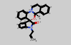 C=CCN1C(=O)[C@@]2(O[C@H]3c4ccccc4C=CN3c3ccccc32)c2ccccc21